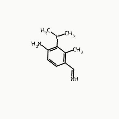 Cc1c(C=N)ccc(N)c1P(C)C